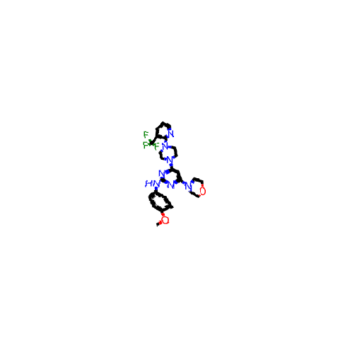 COc1ccc(Nc2nc(N3CCOCC3)cc(N3CCN(c4ncccc4C(F)(F)F)CC3)n2)cc1